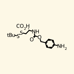 CC(C)(C)SSC[C@@H](NC(=O)OCc1ccc(N)cc1)C(=O)O